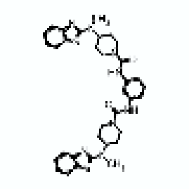 CN(c1nc2ccccc2s1)C1CCN(C(=O)Nc2cccc(NC(=O)N3CCC(N(C)c4nc5ccccc5s4)CC3)c2)CC1